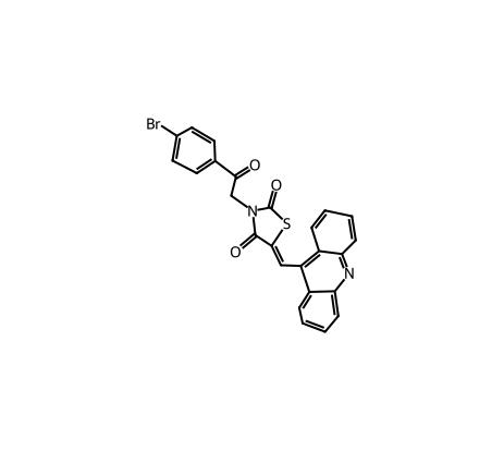 O=C(CN1C(=O)SC(=Cc2c3ccccc3nc3ccccc23)C1=O)c1ccc(Br)cc1